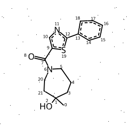 CC1(O)CCCN(C(=O)c2cnc(-c3ccccc3)s2)CC1